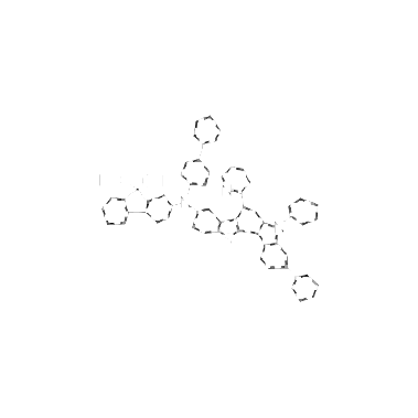 CC1(C)c2ccccc2-c2ccc(N(c3ccc(-c4ccccc4)cc3)c3ccc4sc5c(c(-c6ccccn6)cc6c5c5ccc(-c7ccccc7)cc5n6-c5ccccc5)c4c3)cc21